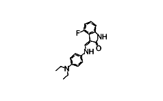 CCN(CC)c1ccc(NC=C2C(=O)Nc3cccc(F)c32)cc1